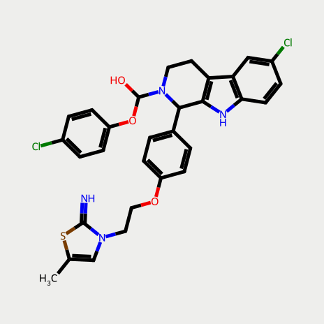 Cc1cn(CCOc2ccc(C3c4[nH]c5ccc(Cl)cc5c4CCN3C(O)Oc3ccc(Cl)cc3)cc2)c(=N)s1